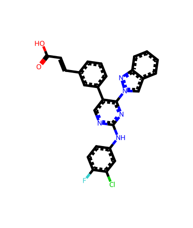 O=C(O)C=Cc1cccc(-c2cnc(Nc3ccc(F)c(Cl)c3)nc2-n2cc3ccccc3n2)c1